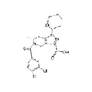 C[C@@H]1Cc2c(c(C(=O)O)nn2C2CCCCO2)CN1C(=O)c1ccc(Cl)c(Cl)c1